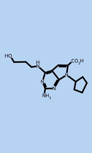 Nc1nc(NCCCO)c2cc(C(=O)O)n(C3CCCC3)c2n1